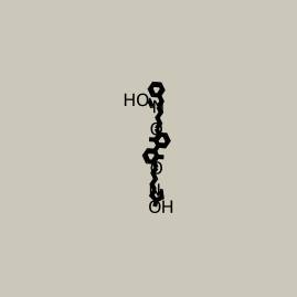 Cc1c(OCCCN(CCO)Cc2ccccc2)cccc1-c1cccc(OCCCN2CCC(O)C2)c1C